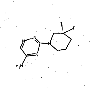 C[C@]1(F)CCCN(c2nncc(N)n2)C1